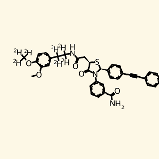 [2H]C([2H])([2H])Oc1ccc(C([2H])([2H])C([2H])([2H])NC(=O)C[C@H]2S[C@@H](c3ccc(C#Cc4ccccc4)cc3)N(c3cccc(C(N)=O)c3)C2=O)cc1OC